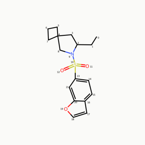 CCC1CC2(CCC2)CN1S(=O)(=O)c1ccc2ccoc2c1